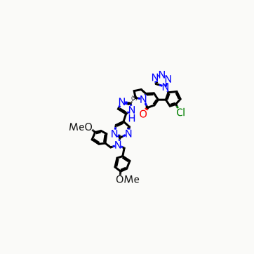 COc1ccc(CN(Cc2ccc(OC)cc2)c2ncc(-c3cnc([C@@H]4CCc5cc(-c6cc(Cl)ccc6-n6cnnn6)cc(=O)n54)[nH]3)cn2)cc1